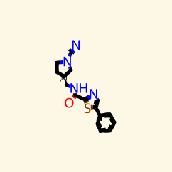 N#CN1CC[C@H](CNC(=O)c2ncc(-c3ccccc3)s2)C1